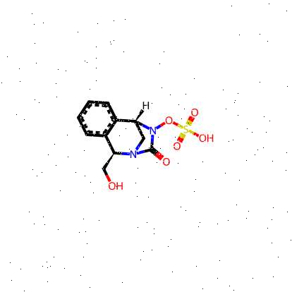 O=C1N2C[C@H](c3ccccc3[C@@H]2CO)N1OS(=O)(=O)O